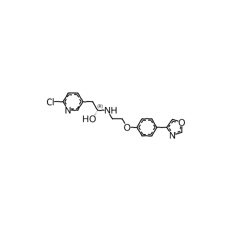 O[C@H](Cc1ccc(Cl)nc1)NCCOc1ccc(-c2cocn2)cc1